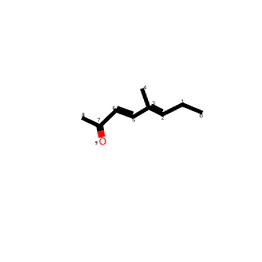 CC/C=C(C)/C=C/C(C)=O